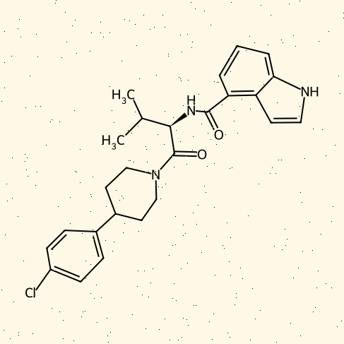 CC(C)[C@@H](NC(=O)c1cccc2[nH]ccc12)C(=O)N1CCC(c2ccc(Cl)cc2)CC1